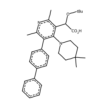 Cc1nc(C)c(C(OC(C)(C)C)C(=O)O)c(N2CCC(C)(C)CC2)c1-c1ccc(-c2ccccc2)cc1